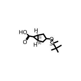 CC(C)(C)[Si](C)(C)OC1C[C@@H]2C(C(=O)O)[C@@H]2C1